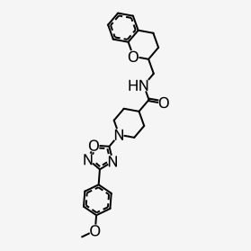 COc1ccc(-c2noc(N3CCC(C(=O)NCC4CCc5ccccc5O4)CC3)n2)cc1